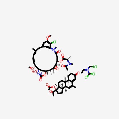 CC(=O)O[C@]1(C(C)=O)CC[C@H]2[C@@H]3C=C(C)C4=CC(=O)CC[C@]4(C)[C@H]3CC[C@@]21C.CCN(CC)C(Cl)Cl.COc1cc2cc(c1Cl)N(C)C(=O)C[C@H](OC(=O)[C@H](C)N(C)C(C)=O)[C@]1(C)O[C@H]1[C@H](C)[C@@H]1C[C@@](O)(NC(=O)O1)[C@H](OC)/C=C\C=C(\C)C2.Cl